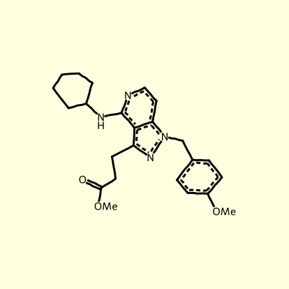 COC(=O)CCc1nn(Cc2ccc(OC)cc2)c2ccnc(NC3CCCCC3)c12